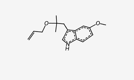 C=CCOC(C)(C)Cc1c[nH]c2ccc(OC)cc12